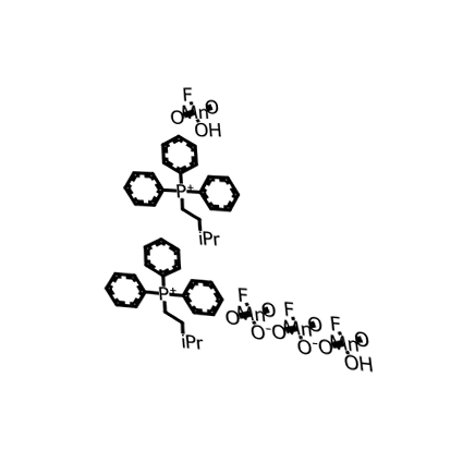 CC(C)CC[P+](c1ccccc1)(c1ccccc1)c1ccccc1.CC(C)CC[P+](c1ccccc1)(c1ccccc1)c1ccccc1.[O]=[Mn](=[O])([O-])[F].[O]=[Mn](=[O])([O-])[F].[O]=[Mn](=[O])([OH])[F].[O]=[Mn](=[O])([OH])[F]